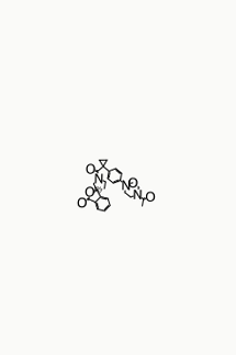 CC(=O)N1CCN(c2ccc(C3(C(=O)N4CC[C@@]5(C4)OC(=O)c4ccccc45)CC3)cc2)OC1